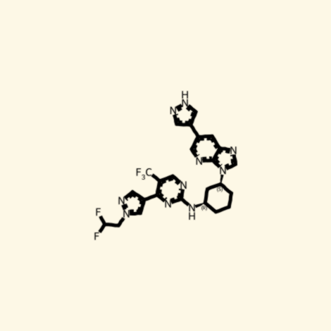 FC(F)Cn1cc(-c2nc(N[C@@H]3CCC[C@H](n4cnc5cc(-c6cn[nH]c6)cnc54)C3)ncc2C(F)(F)F)cn1